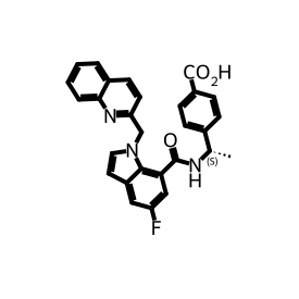 C[C@H](NC(=O)c1cc(F)cc2ccn(Cc3ccc4ccccc4n3)c12)c1ccc(C(=O)O)cc1